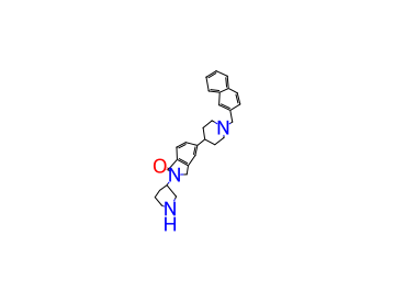 O=C1c2ccc(C3CCN(Cc4ccc5ccccc5c4)CC3)cc2CN1C1CCCNC1